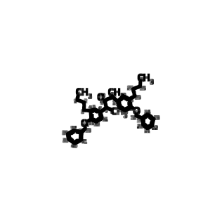 CCCCc1cc(C(C)C(=O)C(C)c2ccc(OCc3ccccc3)c(CCCC)c2)ccc1OCc1ccccc1